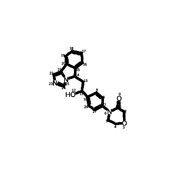 O=C1COCCN1c1ccc(C(O)CC2c3ccccc3-c3cncn32)cc1